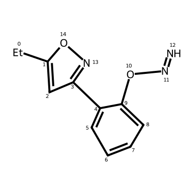 CCc1cc(-c2ccccc2ON=N)no1